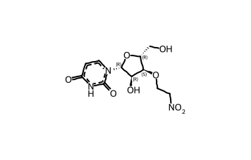 O=c1ccn([C@@H]2O[C@H](CO)[C@@H](OCC[N+](=O)[O-])[C@H]2O)c(=O)[nH]1